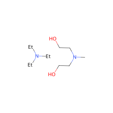 CCN(CC)CC.CN(CCO)CCO